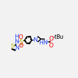 CC(C)(C)OC(=O)NCC1CN(c2ccc(S(=O)(=O)Nc3nccs3)cc2)C1